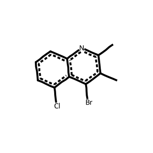 Cc1nc2cccc(Cl)c2c(Br)c1C